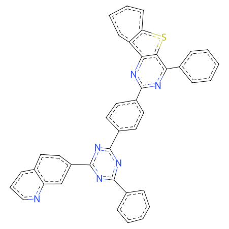 c1ccc(-c2nc(-c3ccc(-c4nc(-c5ccccc5)c5sc6ccccc6c5n4)cc3)nc(-c3ccc4cccnc4c3)n2)cc1